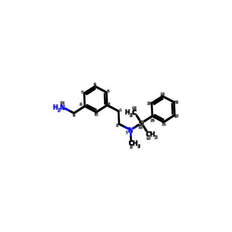 CN(CCc1cccc(CN)c1)[Si](C)(C)c1ccccc1